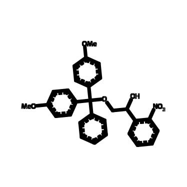 COc1ccc(C(OCC(O)c2ccccc2[N+](=O)[O-])(c2ccccc2)c2ccc(OC)cc2)cc1